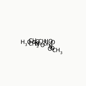 CCOC(=O)N1C[C@@H](Cc2ccc(OCCc3nc(-c4ccc(C(C)(C)C)cc4)oc3C)cc2)[C@@H](C(=O)O)C1